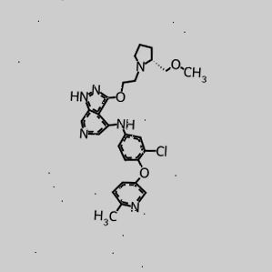 COC[C@H]1CCCN1CCOc1n[nH]c2cncc(Nc3ccc(Oc4ccc(C)nc4)c(Cl)c3)c12